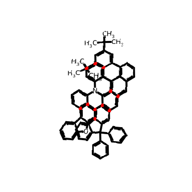 CC(C)(C)c1cc(-c2cccc3cccc(-c4ccccc4N(c4ccccc4-c4ccc5c(c4)oc4ccccc45)c4ccccc4-c4cccc5c4-c4ccccc4C5(c4ccccc4)c4ccccc4)c23)cc(C(C)(C)C)c1